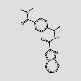 C[C@@H](NC(=O)c1cn2ccccc2n1)c1ccc(C(=O)N(C)C)cc1